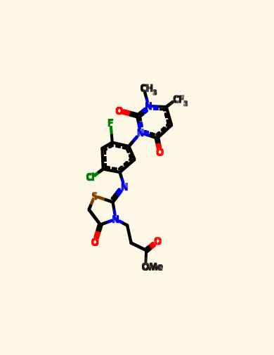 COC(=O)CCN1C(=O)CSC1=Nc1cc(-n2c(=O)cc(C(F)(F)F)n(C)c2=O)c(F)cc1Cl